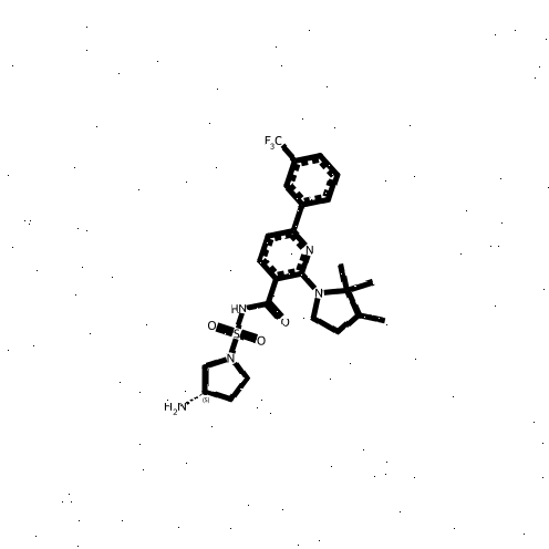 CC1CCN(c2nc(-c3cccc(C(F)(F)F)c3)ccc2C(=O)NS(=O)(=O)N2CC[C@H](N)C2)C1(C)C